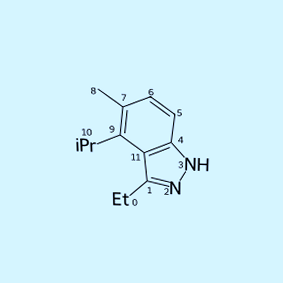 CCc1n[nH]c2ccc(C)c(C(C)C)c12